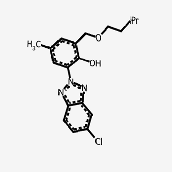 Cc1cc(COCCC(C)C)c(O)c(-n2nc3ccc(Cl)cc3n2)c1